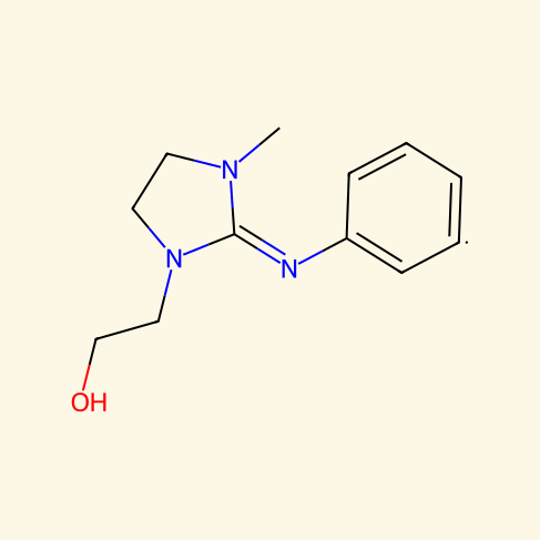 CN1CCN(CCO)C1=Nc1c[c]ccc1